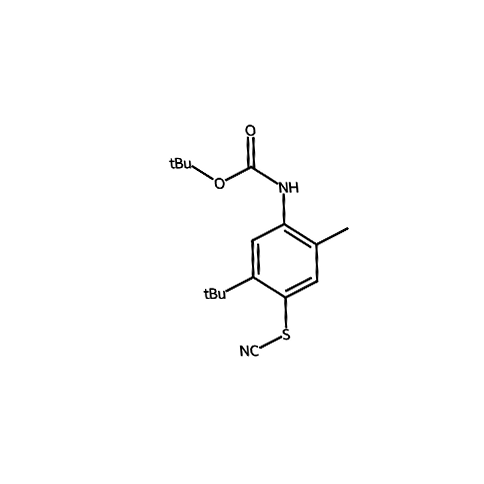 Cc1cc(SC#N)c(C(C)(C)C)cc1NC(=O)OC(C)(C)C